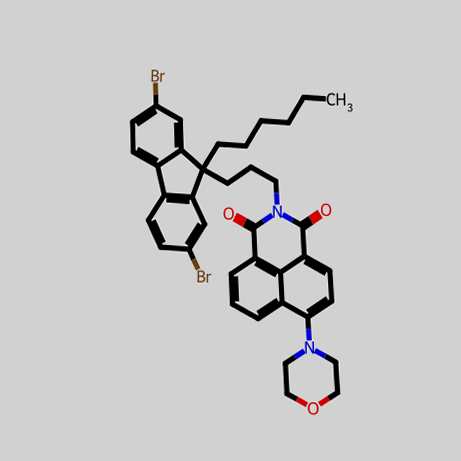 CCCCCCC1(CCCN2C(=O)c3cccc4c(N5CCOCC5)ccc(c34)C2=O)c2cc(Br)ccc2-c2ccc(Br)cc21